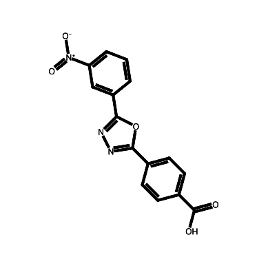 O=C(O)c1ccc(-c2nnc(-c3cccc([N+](=O)[O-])c3)o2)cc1